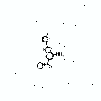 Cc1ccc(-c2nc3c(N)cc(C(=O)N4CCCC4)cn3n2)o1